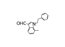 Cc1cccc2c(C=O)cn(CCc3ccccc3)c12